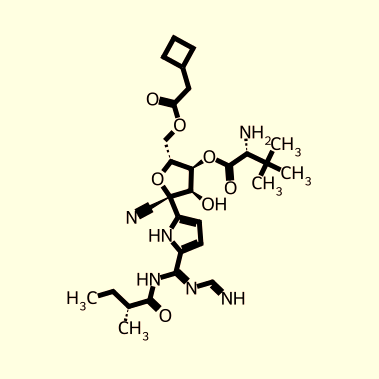 CC[C@@H](C)C(=O)N/C(=N/C=N)c1ccc([C@]2(C#N)O[C@H](COC(=O)CC3CCC3)[C@@H](OC(=O)[C@H](N)C(C)(C)C)[C@H]2O)[nH]1